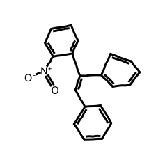 O=[N+]([O-])c1ccccc1C(=Cc1ccccc1)c1ccccc1